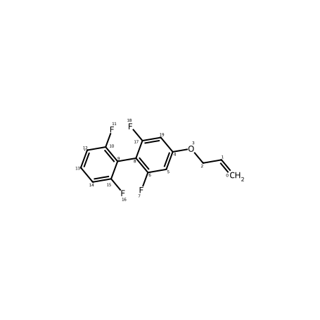 C=CCOc1cc(F)c(-c2c(F)[c]ccc2F)c(F)c1